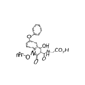 CCCOn1c(=O)c(C(=O)NCC(=O)O)c(O)c2cc(Oc3ccccc3)ccc21